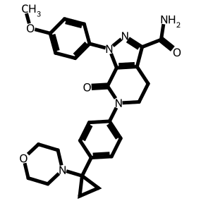 COc1ccc(-n2nc(C(N)=O)c3c2C(=O)N(c2ccc(C4(N5CCOCC5)CC4)cc2)CC3)cc1